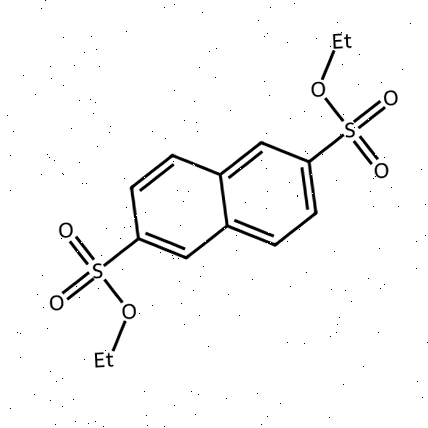 CCOS(=O)(=O)c1ccc2cc(S(=O)(=O)OCC)ccc2c1